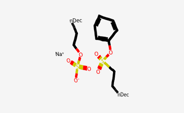 CCCCCCCCCCCCOS(=O)(=O)[O-].CCCCCCCCCCCCS(=O)(=O)Oc1ccccc1.[Na+]